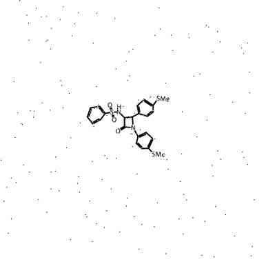 CSc1ccc(C2C(NS(=O)(=O)c3ccccc3)C(=O)N2c2ccc(SC)cc2)cc1